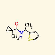 CC(NC(=O)C1(C)CC1)c1cccs1